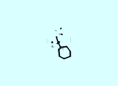 C[N+](C)(C)CC(O)(C1CCCCCC1)P(=O)(O)O